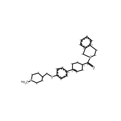 O=C(O)N1CCC(COc2ccc(C3=CCC(C(=O)N4CCc5ccccc5C4)CC3)cc2)CC1